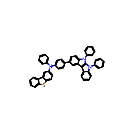 c1ccc(N(c2ccc(-c3ccc4c(c3)c3c5ccccc5n(-c5ccccc5)c3n4-c3ccccc3)cc2)c2ccc3sc4ccccc4c3c2)cc1